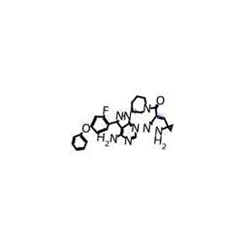 N#C/C(=C\C1(N)CC1)C(=O)N1CCC[C@H](n2nc(-c3ccc(Oc4ccccc4)cc3F)c3c(N)ncnc32)C1